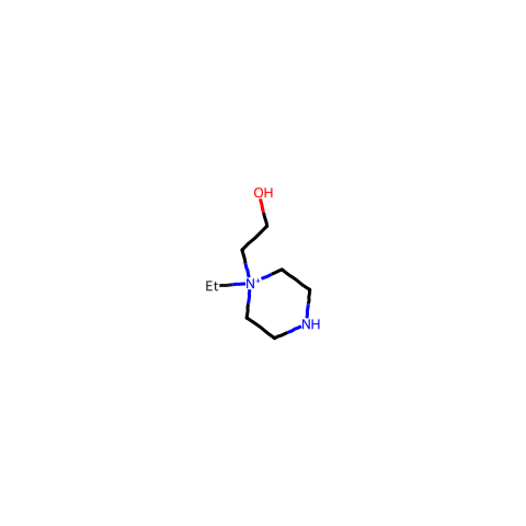 CC[N+]1(CCO)CCNCC1